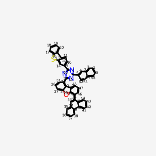 c1ccc2cc(-c3nc(-c4ccc5c(c4)sc4ccccc45)nc(-c4cccc5oc6c(-c7cc8ccccc8c8ccccc78)cccc6c45)n3)ccc2c1